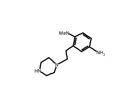 CNc1ccc(N)cc1CCN1CCNCC1